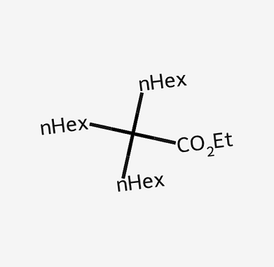 CCCCCCC(CCCCCC)(CCCCCC)C(=O)OCC